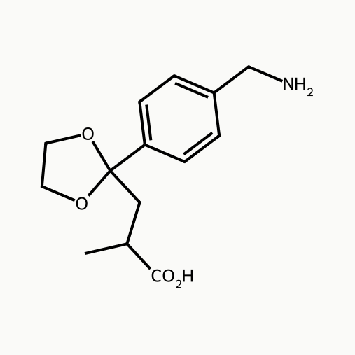 CC(CC1(c2ccc(CN)cc2)OCCO1)C(=O)O